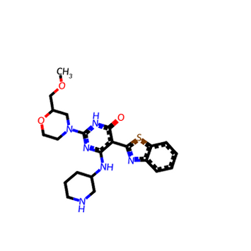 COCC1CN(c2nc(NC3CCCNC3)c(-c3nc4ccccc4s3)c(=O)[nH]2)CCO1